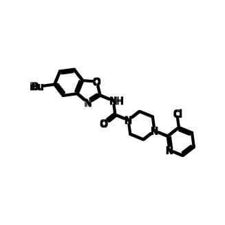 CCC(C)c1ccc2oc(NC(=O)N3CCN(c4ncccc4Cl)CC3)nc2c1